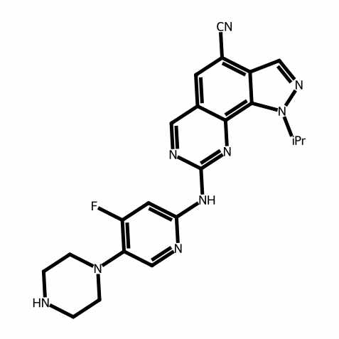 CC(C)n1ncc2c(C#N)cc3cnc(Nc4cc(F)c(N5CCNCC5)cn4)nc3c21